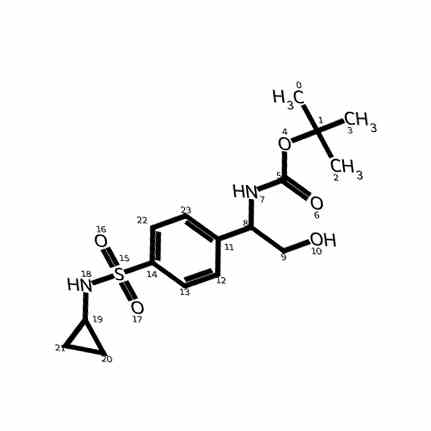 CC(C)(C)OC(=O)NC(CO)c1ccc(S(=O)(=O)NC2CC2)cc1